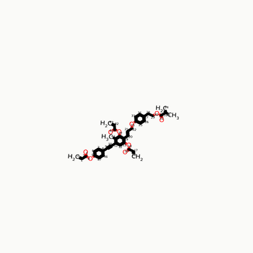 C=CC(=O)Oc1ccc(C#Cc2cc(OC(=O)C=C)c(/C=C/COc3ccc(CCOC(=O)C(=C)C)cc3)c(OC(=O)C=C)c2C)cc1